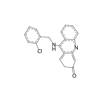 O=C1C=c2nc3ccccc3c(NCc3ccccc3Cl)c2=CC1